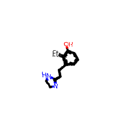 CCc1c(O)cccc1CCC1=NCCN1